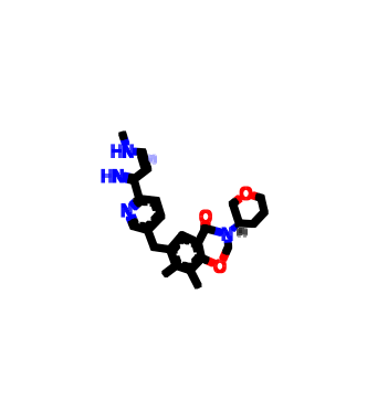 CN/C=C\C(=N)c1ccc(Cc2cc3c(c(C)c2C)OCN([C@@H]2CCCOC2)C3=O)cn1